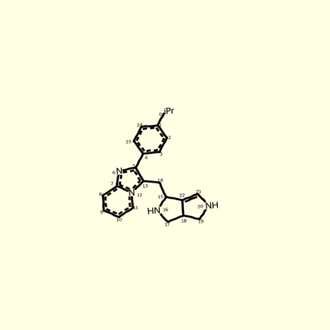 CC(C)c1ccc(-c2nc3ccccn3c2CC2NCC3CNC=C32)cc1